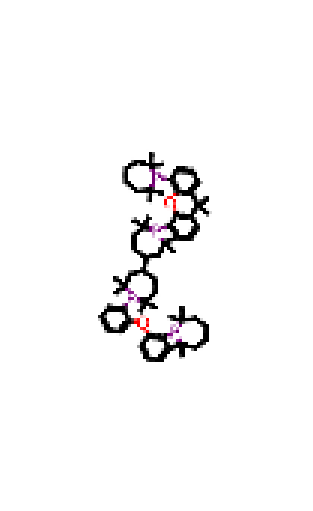 CC1(C)c2cccc(P3C(C)(C)CCCCC3(C)C)c2Oc2c1ccc1c2P2C(C)(C)CCC(C3CCC(C)(C)P(c4ccccc4Oc4cccc5c4P4C(C)(C)CCCCC54C)C(C)(C)C3)CC12C